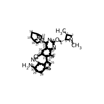 C[C@@H]1CN(C)[C@@H]1COc1nc(N2CC3CCC(C2)N3)c2cc(Cl)c(-c3csc4ccc(N)c(C#N)c34)c(F)c2n1